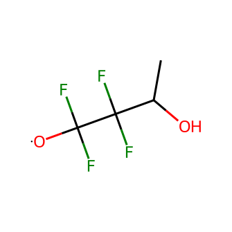 CC(O)C(F)(F)C([O])(F)F